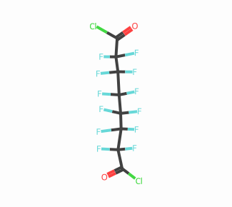 O=C(Cl)C(F)(F)C(F)(F)C(F)(F)C(F)(F)C(F)(F)C(F)(F)C(=O)Cl